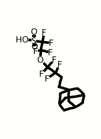 O=S(=O)(O)C(F)(F)C(F)(F)OC(F)(F)C(F)(F)CCC12CC3CC(CC(C3)C1)C2